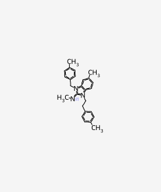 C/N=c1/n(CCc2ccc(C)cc2)c2ccc(C)cc2n1Cc1ccc(C)cc1